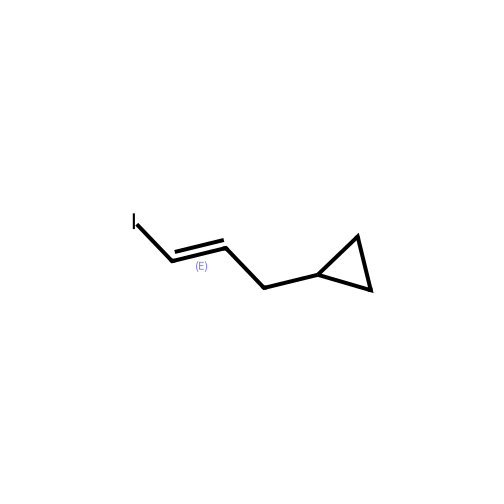 I/C=C/CC1CC1